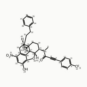 CN(C(=O)C#Cc1ccc(C(F)(F)F)cc1)[C@@H]1CC[C@H]2[C@H]3Cc4c([N+](=O)[O-])cc(O)c5c4[C@@]2(CCN3CCc2ccccc2)[C@H]1O5